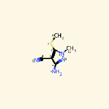 CSc1c(C#N)c(N)nn1C